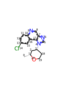 C[C@@H]1C[C@H](n2cnc3cnc4ccc(Cl)cc4c32)CCO1